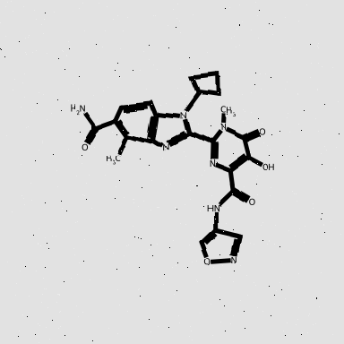 Cc1c(C(N)=O)ccc2c1nc(-c1nc(C(=O)Nc3cnoc3)c(O)c(=O)n1C)n2C1CCC1